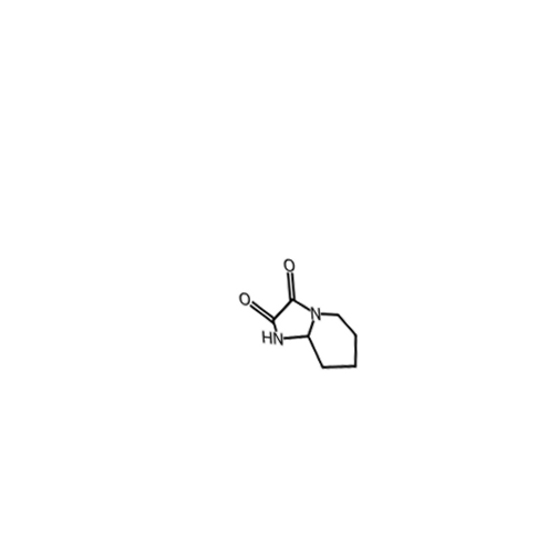 O=C1NC2CCCCN2C1=O